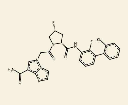 NC(=O)c1cn(CC(=O)N2C[C@H](F)C[C@H]2C(=O)Nc2cccc(-c3ccccc3Cl)c2F)n2ccnc12